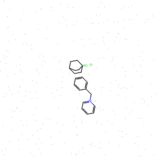 C1CC2CCC1CC2.Cl.[Cl-].c1ccc(C[n+]2ccccc2)cc1